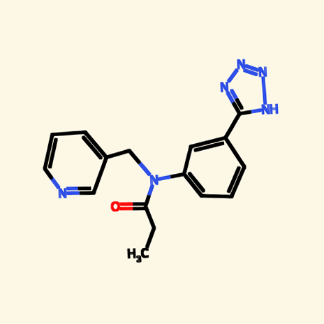 CCC(=O)N(Cc1cccnc1)c1cccc(-c2nnn[nH]2)c1